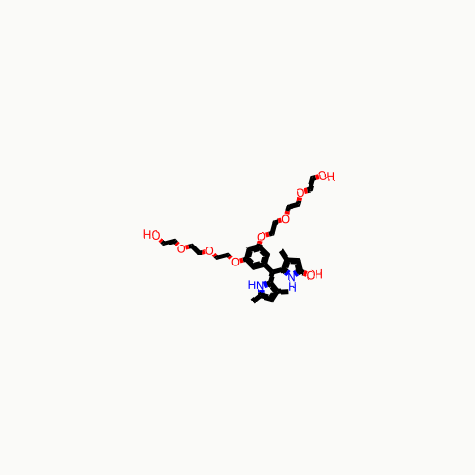 Cc1cc(C)c(C(c2cc(OCCOCCOCCO)cc(OCCOCCOCCO)c2)c2[nH]c(O)cc2C)[nH]1